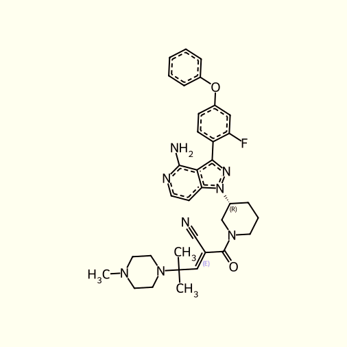 CN1CCN(C(C)(C)/C=C(\C#N)C(=O)N2CCC[C@@H](n3nc(-c4ccc(Oc5ccccc5)cc4F)c4c(N)nccc43)C2)CC1